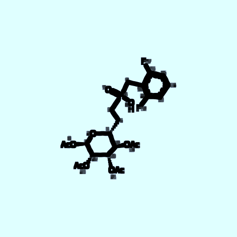 CC(=O)O[C@H]1O[C@H](CCP(=O)(O)Cc2c(F)cccc2F)[C@@H](OC(C)=O)[C@H](OC(C)=O)[C@@H]1OC(C)=O